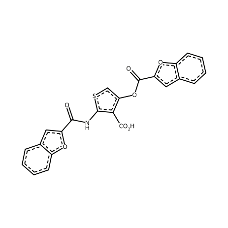 O=C(Nc1scc(OC(=O)c2cc3ccccc3o2)c1C(=O)O)c1cc2ccccc2o1